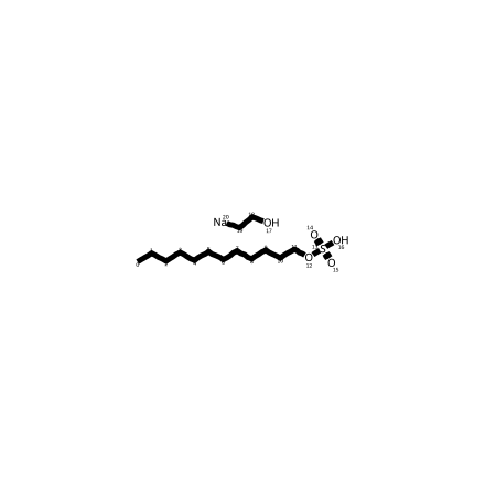 CCCCCCCCCCCCOS(=O)(=O)O.OC[CH2][Na]